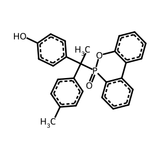 Cc1ccc(C(C)(c2ccc(O)cc2)P2(=O)Oc3ccccc3-c3ccccc32)cc1